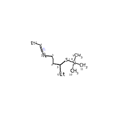 CC/C=N/CCC(CC)S[Si](C)(C)C